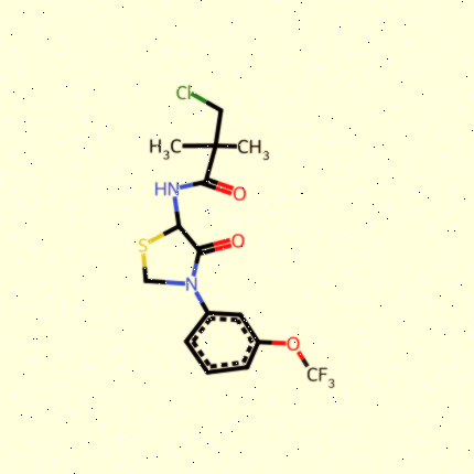 CC(C)(CCl)C(=O)NC1SCN(c2cccc(OC(F)(F)F)c2)C1=O